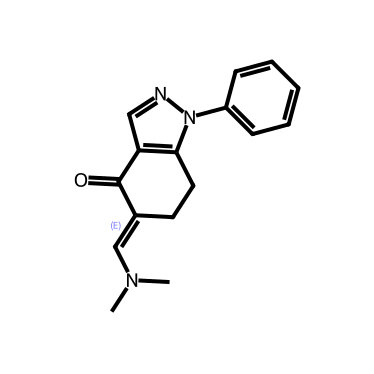 CN(C)/C=C1\CCc2c(cnn2-c2ccccc2)C1=O